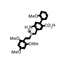 COc1cc(OC)c(C=C[S+]([O-])Cc2cc(C(=O)O)c(-c3ccccc3OC)cc2N)c(OC)c1